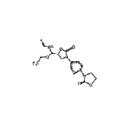 O=C1OCCN1c1ccc(N2C[C@@H](C(NC=S)OCC(F)(F)F)OC2=O)cc1